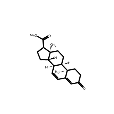 COC(=O)C1CC[C@H]2[C@@H]3C=CC4=CC(=O)CC[C@]4(C)[C@@H]3CC[C@]12C